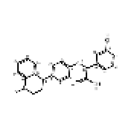 CN1CCC(c2ccc(OC(C(=O)O)c3cccc(Cl)c3)cc2)c2ccccc21